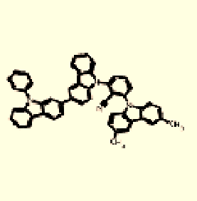 Cc1ccc2c(c1)c1cc(C)ccc1n2-c1cccc(-n2c3ccccc3c3cc(-c4ccc5c6ccccc6n(-c6ccccc6)c5c4)ccc32)c1C#N